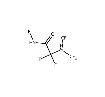 O=C(NF)C(F)(F)[SiH](C(F)(F)F)C(F)(F)F